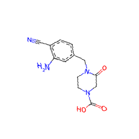 N#Cc1ccc(CN2CCN(C(=O)O)CC2=O)cc1N